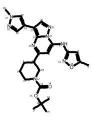 Cc1cc(Nc2cc(C3CCCN(C(=O)OC(C)(C)C)C3)nc3c(-c4cnn(C)c4)cnn23)no1